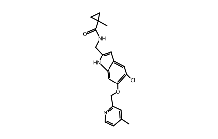 Cc1ccnc(COc2cc3[nH]c(CNC(=O)C4(C)CC4)cc3cc2Cl)c1